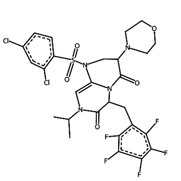 CC(C)N1C=C2N(C(=O)C(N3CCOCC3)CN2S(=O)(=O)c2ccc(Cl)cc2Cl)C(Cc2c(F)c(F)c(F)c(F)c2F)C1=O